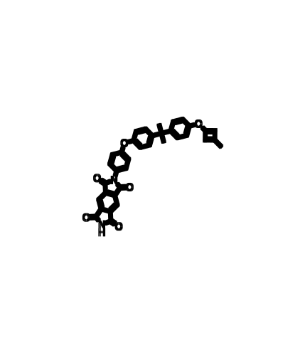 CC1=CC(Oc2ccc(C(C)(C)c3ccc(Oc4ccc(-n5c(=O)c6cc7c(=O)[nH]c(=O)c7cc6c5=O)cc4)cc3)cc2)=C1